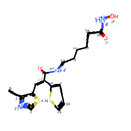 Cc1ncsc1/C=C(/C(=O)NCCCCCC(=O)NO)C1CC=CS1